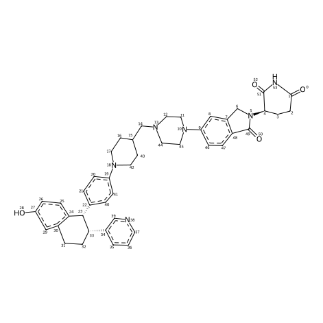 O=C1CC[C@@H](N2Cc3cc(N4CCN(CC5CCN(c6ccc([C@H]7c8ccc(O)cc8CC[C@H]7c7cccnc7)cc6)CC5)CC4)ccc3C2=O)C(=O)N1